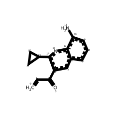 C=CC(=O)c1cc2cccc(N)c2nc1C1CC1